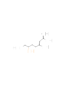 CC[C@H](P)CCC(C)CC(C)C